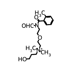 Cc1ccccc1C(=O)N(C=O)CCOCC[N+](C)(C)CCCO